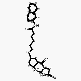 O=C(CCCCCOC1CCC2NC3NC(=O)CN3C(=O)C2C1)Nc1ccc2ccccc2n1